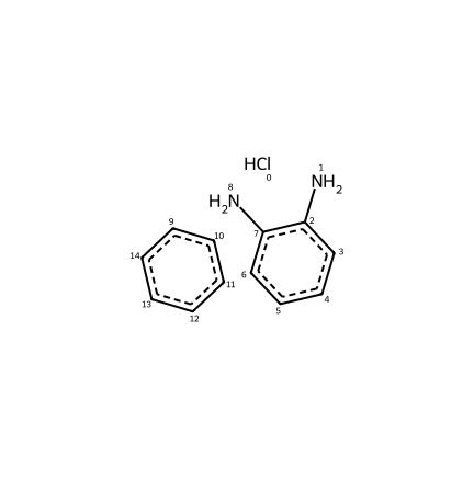 Cl.Nc1ccccc1N.c1ccccc1